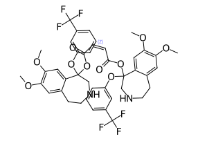 COc1cc2c(cc1OC)C(OC(=O)/C=C\C(=O)OC1(Oc3cccc(C(F)(F)F)c3)CNCCc3cc(OC)c(OC)cc31)(Oc1cccc(C(F)(F)F)c1)CNCC2